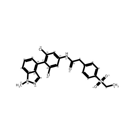 CCS(=O)(=O)c1ccc(CC(=O)Nc2cc(Cl)c(-c3cccc4c3cnn4C)c(Cl)c2)cc1